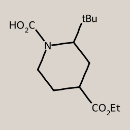 CCOC(=O)C1CCN(C(=O)O)C(C(C)(C)C)C1